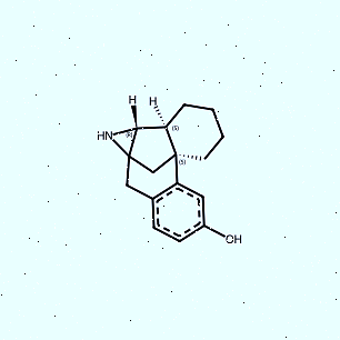 Oc1ccc2c(c1)[C@]13CCCC[C@@H]1[C@H]1NC1(C2)C3